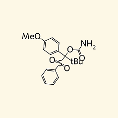 COc1ccc(C(OC(N)=O)(C(C)(C)C)S(=O)(=O)c2ccccc2)cc1